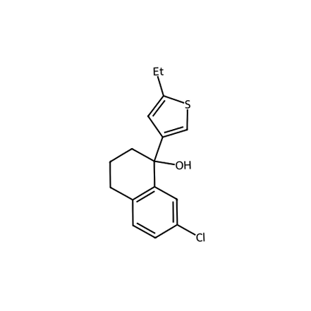 CCc1cc(C2(O)CCCc3ccc(Cl)cc32)cs1